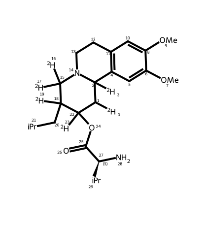 [2H]C1C2([2H])c3cc(OC)c(OC)cc3CCN2C([2H])([2H])C([2H])(CC(C)C)C1([2H])OC(=O)[C@@H](N)C(C)C